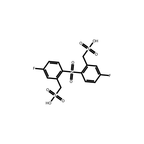 O=S(=O)(O)Cc1cc(F)ccc1S(=O)(=O)c1ccc(F)cc1CS(=O)(=O)O